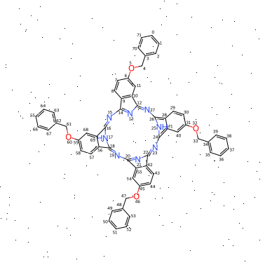 c1ccc(COc2ccc3c(c2)-c2nc-3nc3[nH]c(nc4nc(nc5[nH]c(n2)c2ccc(OCc6ccccc6)cc52)-c2ccc(OCc5ccccc5)cc2-4)c2ccc(OCc4ccccc4)cc32)cc1